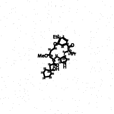 CCc1ccc(C(=O)N(C[C@@H]2CNC[C@H]2CN(C)C(=O)CC2(O)CCCCC2)C(C)C)cc1OCCCOC